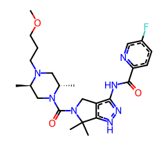 COCCCN1C[C@H](C)N(C(=O)N2Cc3c(NC(=O)c4ccc(F)cn4)n[nH]c3C2(C)C)C[C@H]1C